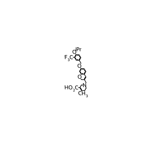 CC1=C(C(=O)O)CN(CC2=Cc3ccc(OCc4ccc(OC(C)C)c(C(F)(F)F)c4)cc3OC2)CC1